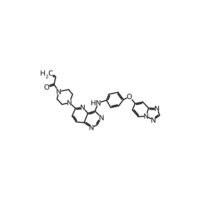 C=CC(=O)N1CCN(c2ccc3ncnc(Nc4ccc(Oc5ccn6ncnc6c5)cc4)c3n2)CC1